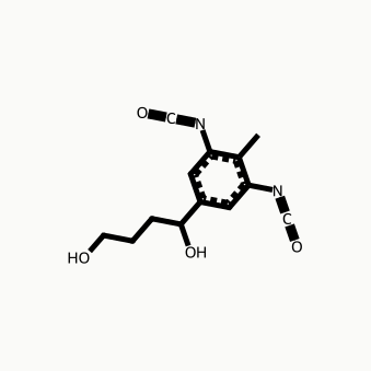 Cc1c(N=C=O)cc(C(O)CCCO)cc1N=C=O